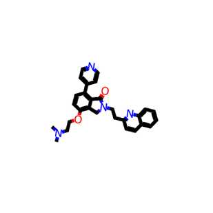 CN(C)CCOc1ccc(-c2ccncc2)c2c1CN(CCc1ccc3ccccc3n1)C2=O